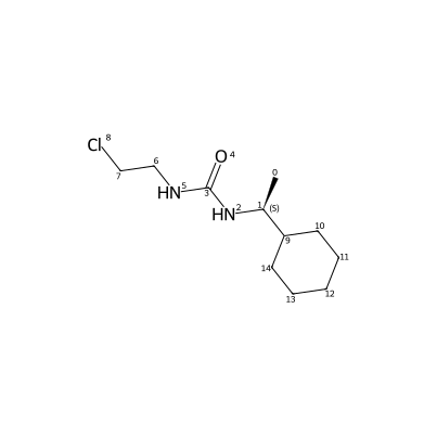 C[C@H](NC(=O)NCCCl)C1CCCCC1